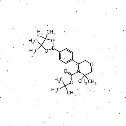 CC(C)(C)OC(=O)N1C(c2ccc(B3OC(C)(C)C(C)(C)O3)cc2)COCC1(C)C